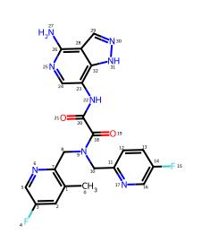 Cc1cc(F)cnc1CN(Cc1ccc(F)cn1)C(=O)C(=O)Nc1cnc(N)c2cn[nH]c12